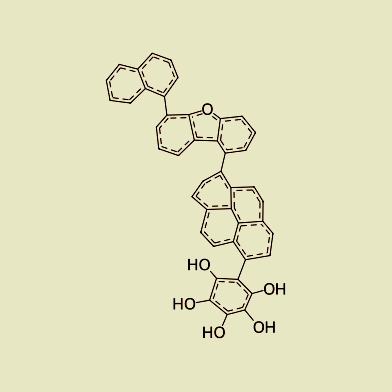 Oc1c(O)c(O)c(-c2ccc3ccc4c(-c5cccc6oc7c(-c8cccc9ccccc89)cccc7c56)ccc5ccc2c3c54)c(O)c1O